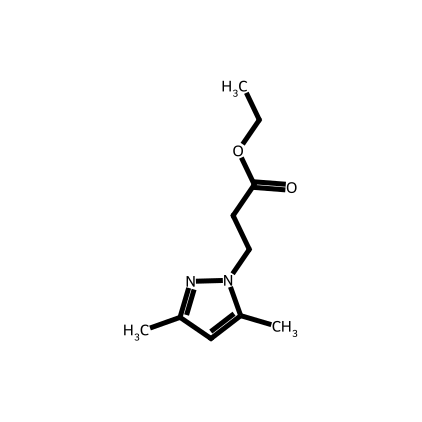 CCOC(=O)CCn1nc(C)cc1C